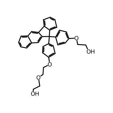 OCCOCCOc1ccc(C2(c3ccc(OCCO)cc3)c3ccccc3-c3cc4ccccc4cc32)cc1